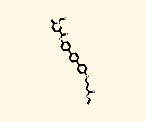 C=COC(=O)CCCOc1ccc(-c2ccc(-c3ccc(OC(=O)C(=C)/C=C\C(=C)OC=O)cc3)cc2)cc1